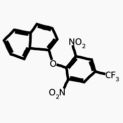 O=[N+]([O-])c1cc(C(F)(F)F)cc([N+](=O)[O-])c1Oc1cccc2ccccc12